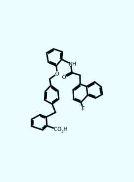 O=C(Cc1ccc(F)c2ccccc12)Nc1ccccc1OCc1ccc(Cc2ccccc2C(=O)O)cc1